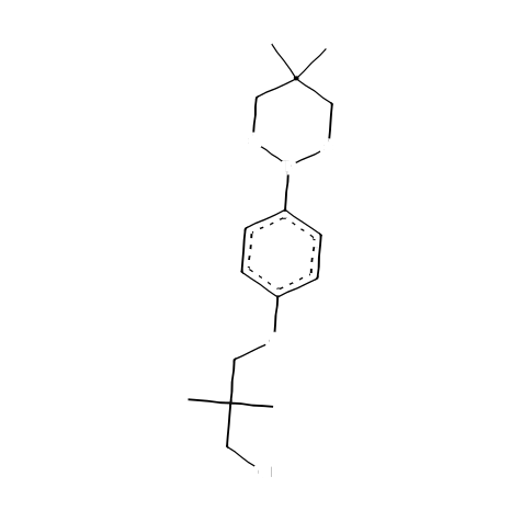 CC1(C)COB(c2ccc(OCC(C)(C)CO)cc2)OC1